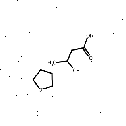 C1CCOC1.CC(C)CC(=O)O